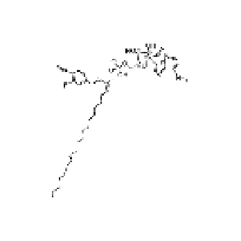 CCCCCCCCCCCCCCCCCCC[C@H](COP(=O)(O)OC[C@H]1O[C@@](C#N)(c2ccc3c(N)ccnn23)[C@H](O)[C@@H]1O)OCc1ccc(C#N)c(F)c1